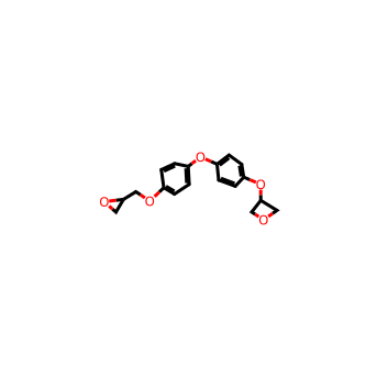 c1cc(Oc2ccc(OC3COC3)cc2)ccc1OCC1CO1